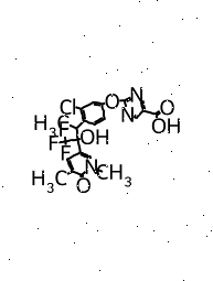 Cc1cc(C(O)(C(C)c2ccc(Oc3ncc(C(=O)O)cn3)cc2Cl)C(F)(F)F)cn(C)c1=O